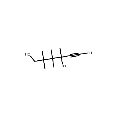 CC(C)C(C)(C#CO)C(C)(C)C(C)(C)CO